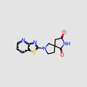 O=C1CC2(CCN(c3nc4ncccc4s3)C2)C(=O)N1